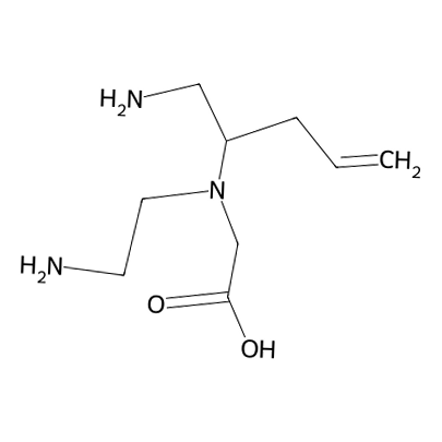 C=CCC(CN)N(CCN)CC(=O)O